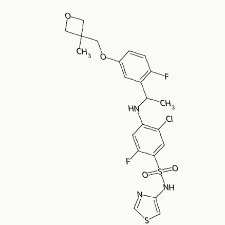 CC(Nc1cc(F)c(S(=O)(=O)Nc2cscn2)cc1Cl)c1cc(OCC2(C)COC2)ccc1F